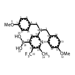 COc1ccc(CN(Cc2ccc(OC)cc2)c2cc(B(O)O)c(C(F)(F)F)c(C)n2)cc1